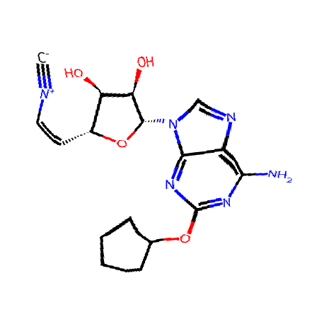 [C-]#[N+]/C=C\[C@H]1O[C@@H](n2cnc3c(N)nc(OC4CCCC4)nc32)[C@H](O)[C@@H]1O